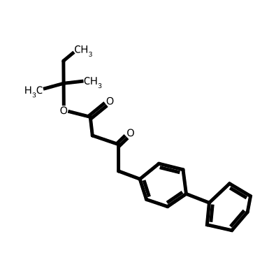 CCC(C)(C)OC(=O)CC(=O)Cc1ccc(-c2ccccc2)cc1